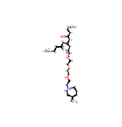 C=C1CCCN(CCOCCOCCOCCCC(CC(O)CCCCCCCCCCCC)CC(C=O)CCCCCCCCCCCC)CC1